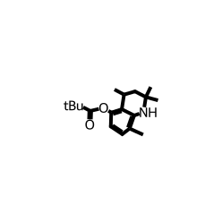 Cc1ccc(OC(=O)C(C)(C)C)c2c1NC(C)(C)CC2C